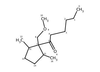 CCCCCC(=O)C1(COC)C(C)CCC1C